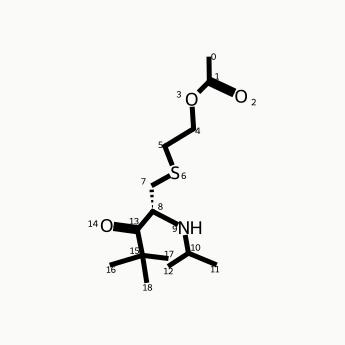 CC(=O)OCCSC[C@H](NC(C)C)C(=O)C(C)(C)C